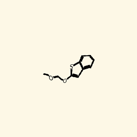 COCOc1cc2ccccc2s1